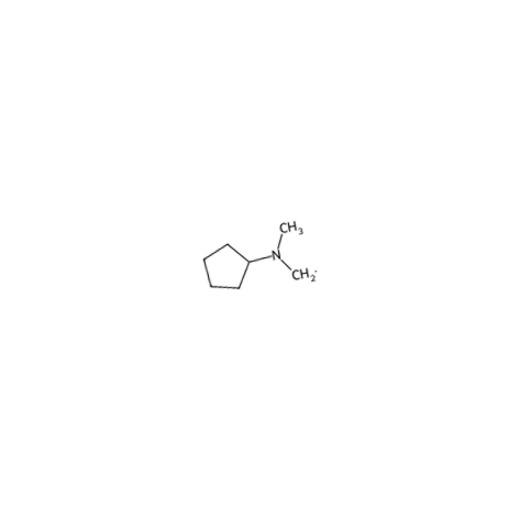 [CH2]N(C)C1CCCC1